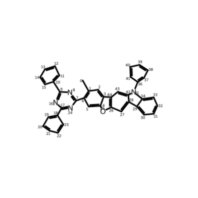 Cc1cc2c(cc1-c1nc(-c3ccccc3)nc(-c3ccccc3)n1)oc1cc3c4ccccc4n(-c4ccccc4)c3cc12